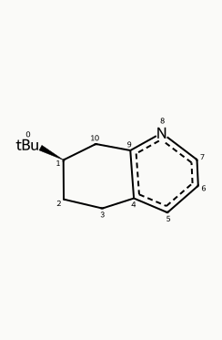 CC(C)(C)[C@@H]1CCc2cccnc2C1